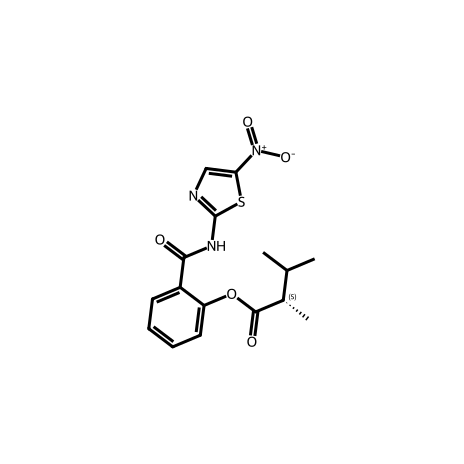 CC(C)[C@H](C)C(=O)Oc1ccccc1C(=O)Nc1ncc([N+](=O)[O-])s1